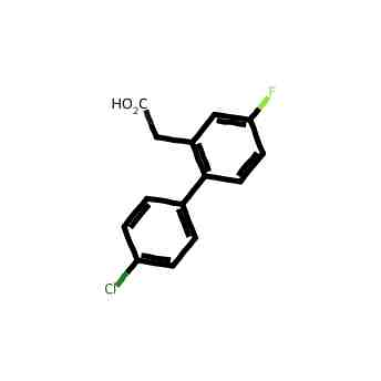 O=C(O)Cc1cc(F)ccc1-c1ccc(Cl)cc1